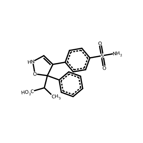 CC(C(=O)O)C1(c2ccccc2)ONC=C1c1ccc(S(N)(=O)=O)cc1